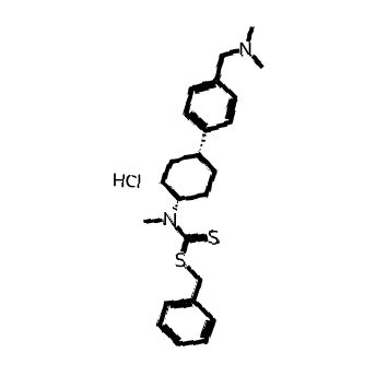 CN(C)Cc1ccc([C@H]2CC[C@@H](N(C)C(=S)SCc3ccccc3)CC2)cc1.Cl